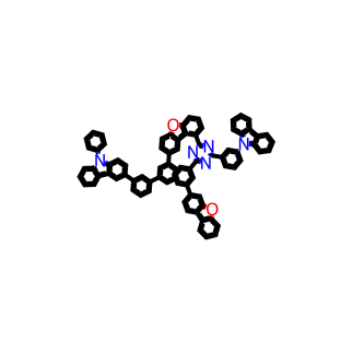 c1ccc(-n2c3ccccc3c3cc(-c4cccc(-c5cccc(-c6ccc7oc8cccc(-c9nc(-c%10cccc(-c%11ccc%12c(c%11)oc%11ccccc%11%12)c%10)nc(-c%10cccc(-n%11c%12ccccc%12c%12ccccc%12%11)c%10)n9)c8c7c6)c5)c4)ccc32)cc1